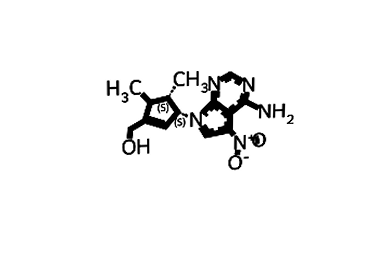 CC1C(CO)=C[C@@H](n2cc([N+](=O)[O-])c3c(N)ncnc32)[C@H]1C